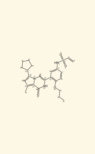 C=CS(=O)(=O)Nc1ccc(OCCC)c(-c2nn3c(C4CCCC4)nc(C)c3c(=O)[nH]2)c1